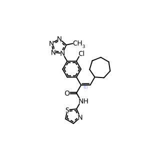 Cc1nnnn1-c1ccc(/C(=C\C2CCCCCC2)C(=O)Nc2nccs2)cc1Cl